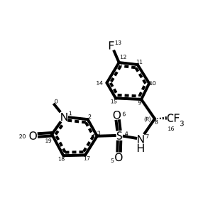 Cn1cc(S(=O)(=O)N[C@H](c2ccc(F)cc2)C(F)(F)F)ccc1=O